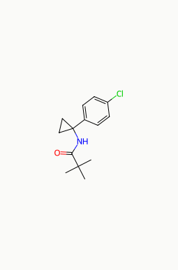 CC(C)(C)C(=O)NC1(c2ccc(Cl)cc2)CC1